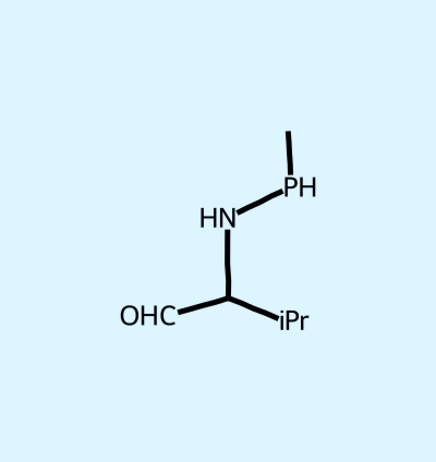 CPNC(C=O)C(C)C